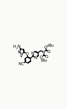 Cn1nc(N)cc1Oc1cc(C#N)ccc1-c1ncc(CN(C(=O)OC(C)(C)C)C(=O)OC(C)(C)C)cn1